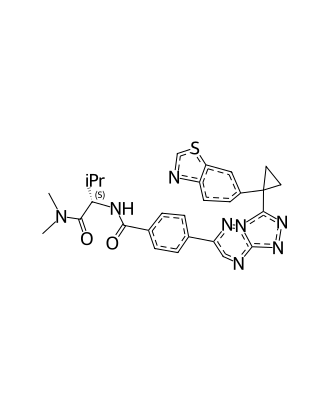 CC(C)[C@H](NC(=O)c1ccc(-c2cnc3nnc(C4(c5ccc6ncsc6c5)CC4)n3n2)cc1)C(=O)N(C)C